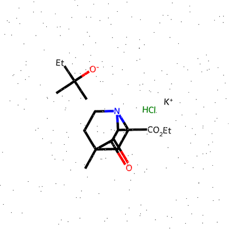 CCC(C)(C)[O-].CCOC(=O)C1C(=O)C2(C)CCN1CC2.Cl.[K+]